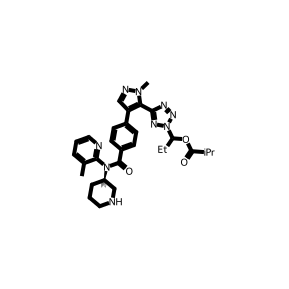 CCC(OC(=O)C(C)C)n1nnc(-c2c(-c3ccc(C(=O)N(c4ncccc4C)[C@@H]4CCCNC4)cc3)cnn2C)n1